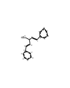 CCCC[C](C=Cc1ccccc1)C=Cc1ccccc1